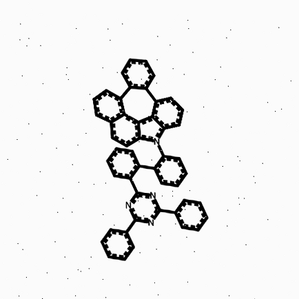 c1ccc(-c2nc(-c3ccccc3)nc(-c3ccccc3-c3ccccc3-n3c4cccc5c4c4c6c(cccc6ccc43)-c3ccccc3-5)n2)cc1